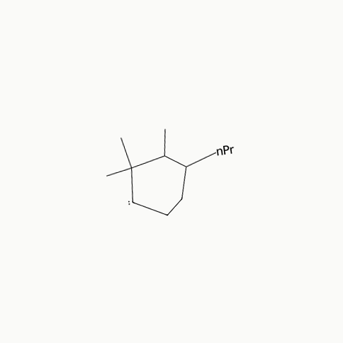 CCCC1CC[C]C(C)(C)C1C